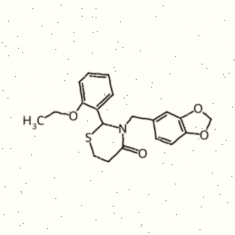 CCOc1ccccc1C1SCCC(=O)N1Cc1ccc2c(c1)OCO2